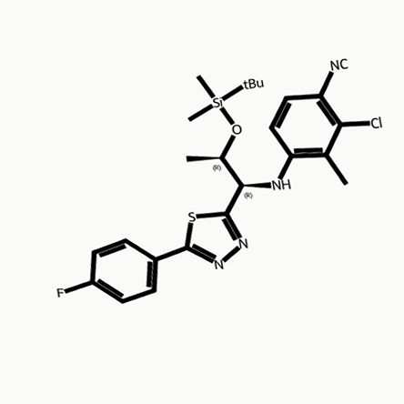 [C-]#[N+]c1ccc(N[C@@H](c2nnc(-c3ccc(F)cc3)s2)[C@@H](C)O[Si](C)(C)C(C)(C)C)c(C)c1Cl